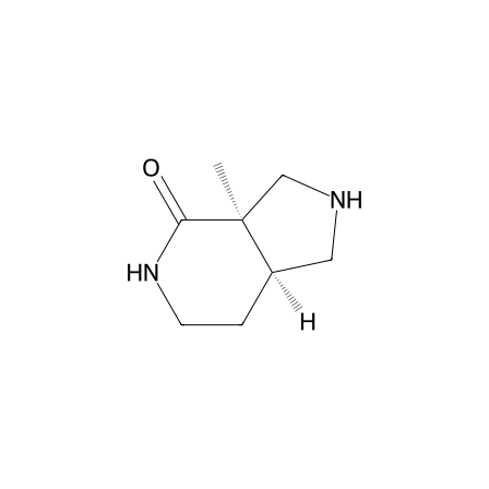 C[C@]12CNC[C@H]1CCNC2=O